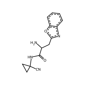 N#CC1(NC(=O)C(N)Cc2nc3ccccc3o2)CC1